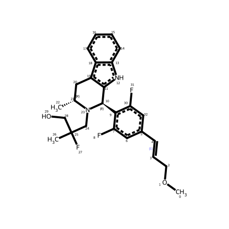 COC/C=C/c1cc(F)c([C@@H]2c3[nH]c4ccccc4c3C[C@@H](C)N2CC(C)(F)CO)c(F)c1